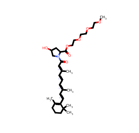 COCCOCCOCCOC(=O)C1CC(O)CN1C(=O)/C=C(C)/C=C/C=C(C)/C=C/C1=C(C)CCCC1(C)C